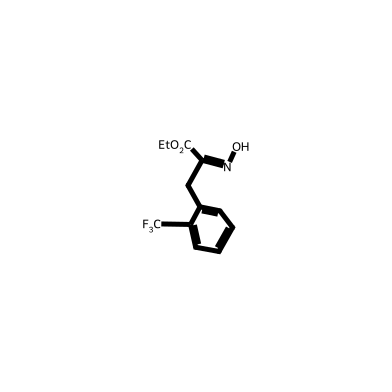 CCOC(=O)C(Cc1ccccc1C(F)(F)F)=NO